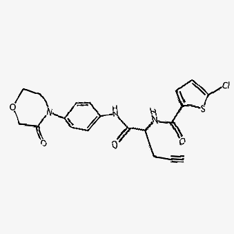 C#CCC(NC(=O)c1ccc(Cl)s1)C(=O)Nc1ccc(N2CCOCC2=O)cc1